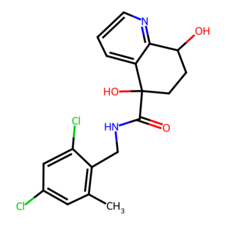 Cc1cc(Cl)cc(Cl)c1CNC(=O)C1(O)CCC(O)c2ncccc21